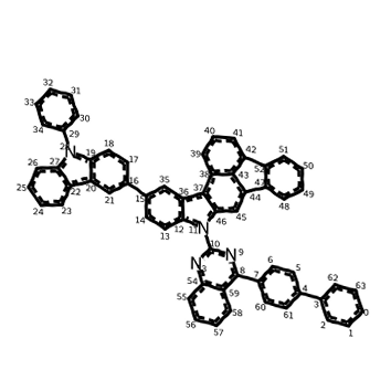 c1ccc(-c2ccc(-c3nc(-n4c5ccc(-c6ccc7c(c6)c6ccccc6n7-c6ccccc6)cc5c5c6cccc7c6c(cc54)-c4ccccc4-7)nc4ccccc34)cc2)cc1